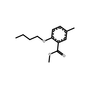 CCCCOc1ccc(C)cc1C(=O)OC